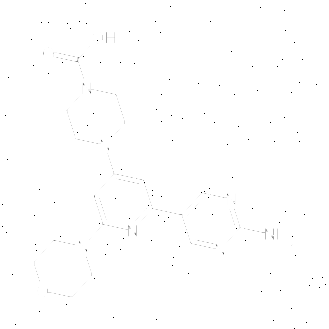 Nc1ncc(-c2cc(N3CCN(C(=O)O)CC3)cc(N3CCOCC3)n2)cn1